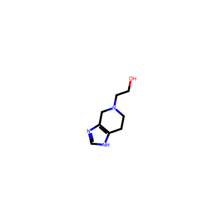 OCCN1CCc2[nH]cnc2C1